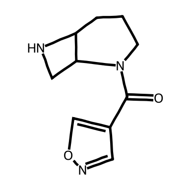 O=C(c1cnoc1)N1CCCC2NCC21